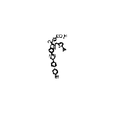 CC[C@H]1CC[C@H](c2ccc(-c3cnc(-c4ccc(C[C@H](NCc5ccc(C6CC6)s5)C(=O)N5CC(C(=O)O)C5)cc4)nc3)cc2)CC1